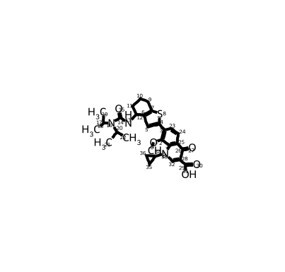 COc1c(-c2cc3c(s2)CCCC3NC(=O)N(C(C)C)C(C)C)ccc2c(=O)c(C(=O)O)cn(C3CC3)c12